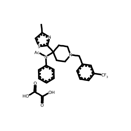 CC(=O)N(c1ccccc1)C1(c2nc(C)cs2)CCN(Cc2cccc(C(F)(F)F)c2)CC1.O=C(O)C(=O)O